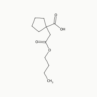 CCCCOC(=O)CC1(C(=O)O)CCCC1